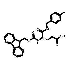 Cc1ccc(CNC(=O)[C@H](CCC(=O)O)NC(=O)OCC2c3ccccc3-c3ccccc32)cc1